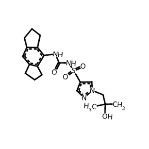 CC(C)(O)Cn1cc(S(=O)(=O)NC(=O)Nc2c3c(cc4c2CCC4)CCC3)cn1